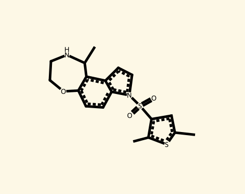 Cc1cc(S(=O)(=O)n2ccc3c4c(ccc32)OCCNC4C)c(C)s1